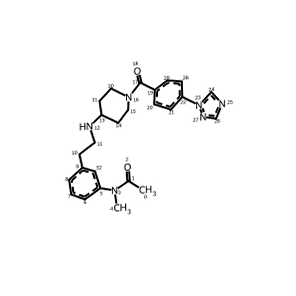 CC(=O)N(C)c1cccc(CCNC2CCN(C(=O)c3ccc(-n4cncn4)cc3)CC2)c1